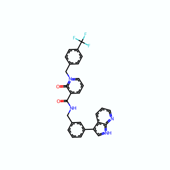 O=C(NCc1cccc(-c2c[nH]c3ncccc23)c1)c1cccn(Cc2ccc(C(F)(F)F)cc2)c1=O